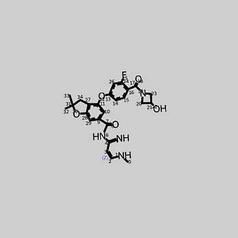 CN/C=C\C(=N)NC(=O)c1cc(Oc2ccc(C(=O)N3CC(O)C3)c(F)c2)c2c(c1)OC(C)(C)C2